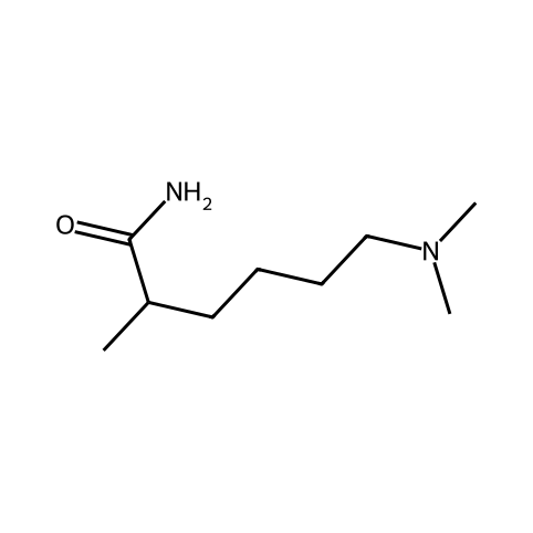 CC(CCCCN(C)C)C(N)=O